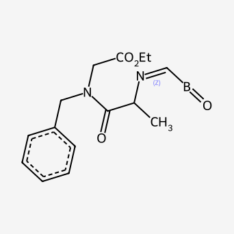 CCOC(=O)CN(Cc1ccccc1)C(=O)C(C)/N=C\B=O